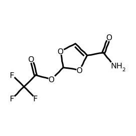 NC(=O)C1=COC(OC(=O)C(F)(F)F)O1